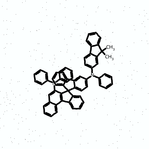 CC1(C)c2ccccc2-c2ccc(N(c3ccccc3)c3ccc4c(c3)-c3ccccc3C43c4ccccc4-c4c3c(N(c3ccccc3)c3ccccc3)cc3ccccc43)cc21